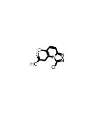 O=C(O)Cc1c(Cl)ccc2nnc(Cl)n12